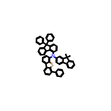 CC1(C)c2ccccc2-c2ccc(N(c3cccc4c3-c3ccccc3C4(c3ccccc3)c3ccccc3)c3cccc4c3sc3c(-c5ccccc5)cccc34)cc21